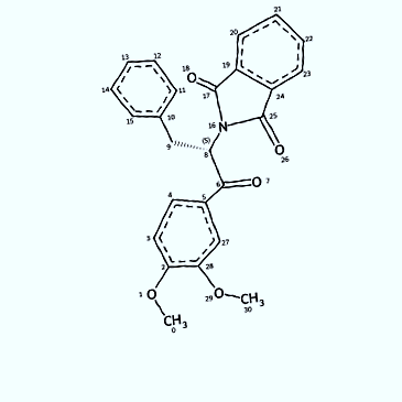 COc1ccc(C(=O)[C@H](Cc2ccccc2)N2C(=O)c3ccccc3C2=O)cc1OC